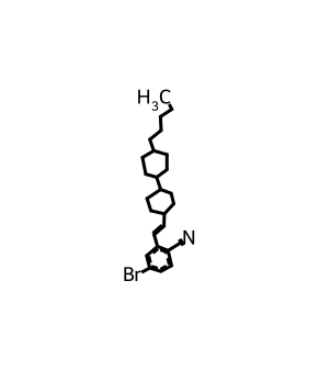 CCCCCC1CCC(C2CCC(/C=C/c3cc(Br)ccc3C#N)CC2)CC1